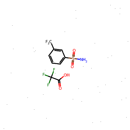 NS(=O)(=O)c1cccc(C(F)(F)F)c1.O=C(O)C(F)(F)F